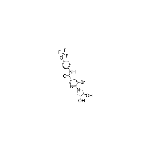 O=C(Nc1ccc(OC(F)(F)F)cc1)c1cnc(N2C[C@@H](O)[C@@H](O)C2)c(Br)c1